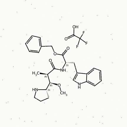 CO[C@@H]([C@@H]1CCCN1)[C@@H](C)C(=O)N[C@@H](Cc1c[nH]c2ccccc12)C(=O)OCc1ccccc1.O=C(O)C(F)(F)F